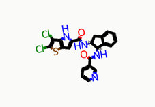 O=C(N[C@@H]1c2ccccc2C[C@@H]1NC(=O)c1cc2sc(Cl)c(Cl)c2[nH]1)c1cccnc1